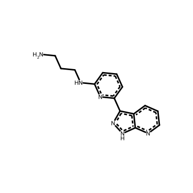 NCCCNc1cccc(-c2n[nH]c3ncccc23)n1